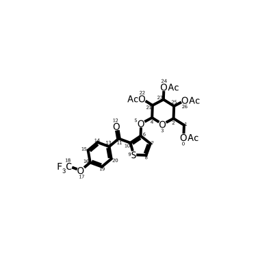 CC(=O)OCC1OC(Oc2ccsc2C(=O)c2ccc(OC(F)(F)F)cc2)C(OC(C)=O)C(OC(C)=O)C1OC(C)=O